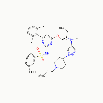 COCCN1CCC(n2cc(N(C)[C@@H](COc3cc(-c4c(C)cccc4C)nc(NS(=O)(=O)c4cccc(C=O)c4)n3)CC(C)(C)C)cn2)CC1